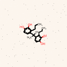 CCCc1c(C(C)(C)c2ccc(O)c(O)c2CCC)ccc(O)c1O